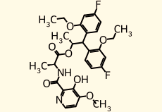 CCOc1cc(F)ccc1C(c1ccc(F)cc1OCC)[C@H](C)OC(=O)[C@H](C)NC(=O)c1nccc(OC)c1O